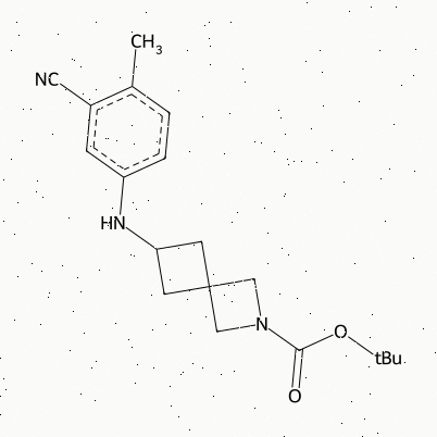 Cc1ccc(NC2CC3(C2)CN(C(=O)OC(C)(C)C)C3)cc1C#N